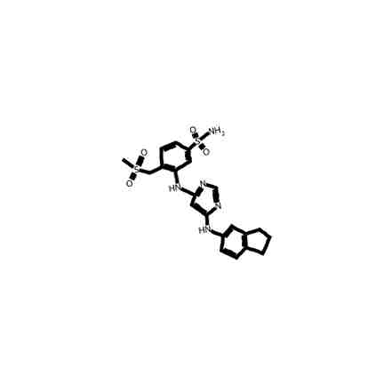 CS(=O)(=O)Cc1ccc(S(N)(=O)=O)cc1Nc1cc(Nc2ccc3c(c2)CCC3)ncn1